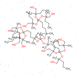 CCC[Si](C)(CO)O[Si](CCC[Si](C)(C)O[Si](C)(O[Si](C)(C)CCC[Si](O[Si](C)(CO)CCC)(O[Si](C)(CO)CCC)O[Si](C)(CO)CCC)O[Si](C)(C)CCC[Si](O[Si](C)(CO)CCC)(O[Si](C)(CO)CCC)O[Si](C)(CO)CCC)(O[Si](C)(CO)CCC)O[Si](C)(CO)CCC